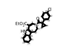 CCOC(=O)C1=CN(C(=O)C2(c3ccc(Cl)cc3)CC2)CCc2c1[nH]c1ccccc21